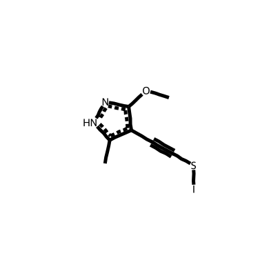 COc1n[nH]c(C)c1C#CSI